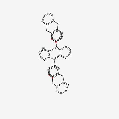 c1ccc2c(c1)C1c3ccccc3C2c2cc(-c3c4ccccc4c(-c4ccc5c(c4)C4c6ccccc6C5c5ccccc54)c4ncccc34)ccc21